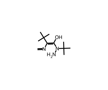 C=N/C(=C(/O)N(N)C(C)(C)C)C(C)(C)C